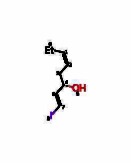 CC/C=C\C[C@H](O)/C=C/I